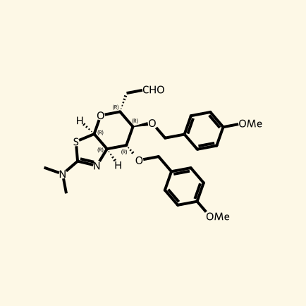 COc1ccc(CO[C@@H]2[C@H]3N=C(N(C)C)S[C@H]3O[C@H](CC=O)[C@H]2OCc2ccc(OC)cc2)cc1